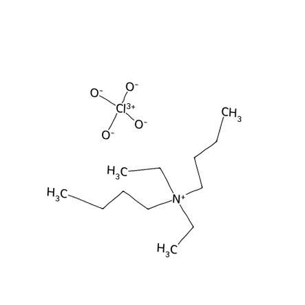 CCCC[N+](CC)(CC)CCCC.[O-][Cl+3]([O-])([O-])[O-]